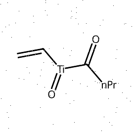 C=[CH][Ti](=[O])[C](=O)CCC